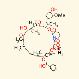 CO[C@@H]1C[C@H](C[C@@H](C)[C@@H]2CC(=O)[C@H](C)/C=C(\C)[C@@H](O)CC(=O)[C@H](C)C[C@H](C)/C=C/C=C/C=C(\C)C(OC[C@H](O)c3ccccc3)C[C@@H]3CC[C@@H](C)[C@@](O)(O3)C(=O)C(=O)N3CCCCC3C(=O)O2)CC[C@H]1O